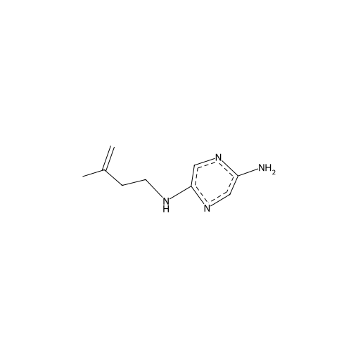 C=C(C)CCNc1cnc(N)cn1